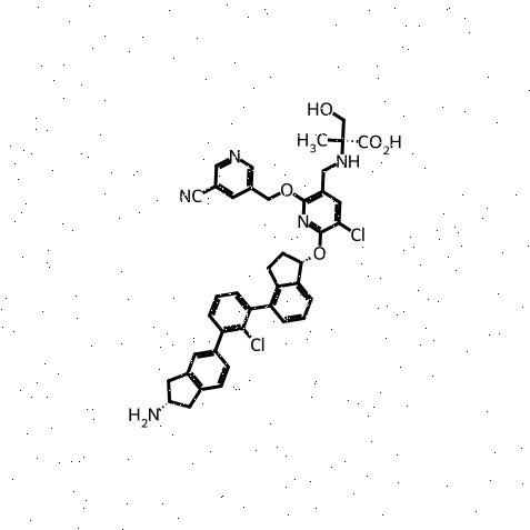 C[C@@](CO)(NCc1cc(Cl)c(O[C@H]2CCc3c(-c4cccc(-c5ccc6c(c5)C[C@@H](N)C6)c4Cl)cccc32)nc1OCc1cncc(C#N)c1)C(=O)O